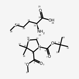 COC(=O)C1N(C(=O)OC(C)(C)C)CSC1(C)C.CSCC[C@H](N)C(=O)O